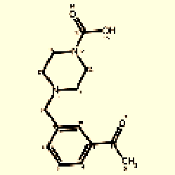 CC(=O)c1cccc(CN2CCN(C(=O)O)CC2)c1